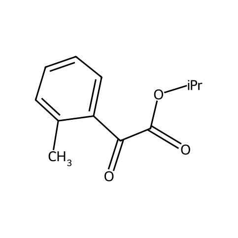 Cc1ccccc1C(=O)C(=O)OC(C)C